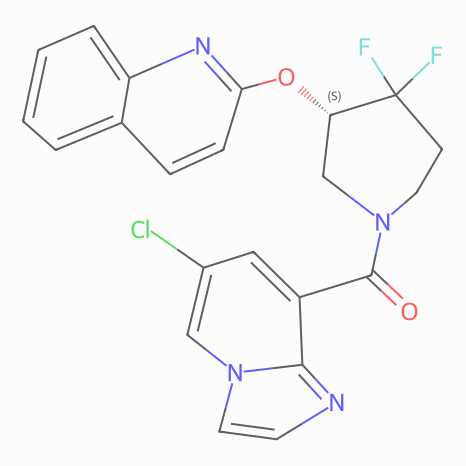 O=C(c1cc(Cl)cn2ccnc12)N1CCC(F)(F)[C@@H](Oc2ccc3ccccc3n2)C1